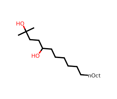 CCCCCCCCCCCCCCC(O)CCC(C)(C)O